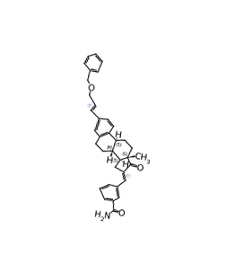 C[C@]12CC[C@@H]3c4ccc(/C=C/COCc5ccccc5)cc4CC[C@H]3[C@@H]1C/C(=C\c1cccc(C(N)=O)c1)C2=O